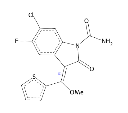 [CH2]O/C(=C1\C(=O)N(C(N)=O)c2cc(Cl)c(F)cc21)c1cccs1